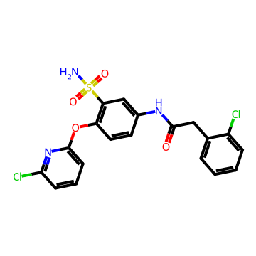 NS(=O)(=O)c1cc(NC(=O)Cc2ccccc2Cl)ccc1Oc1cccc(Cl)n1